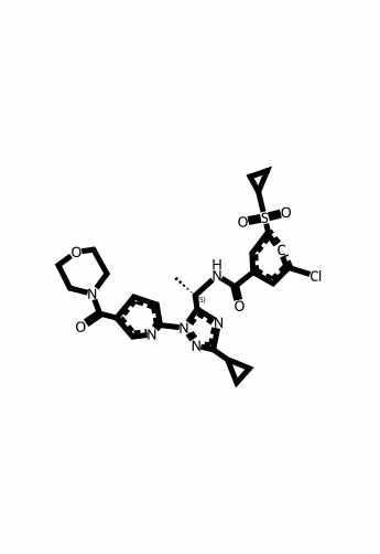 C[C@H](NC(=O)c1cc(Cl)cc(S(=O)(=O)C2CC2)c1)c1nc(C2CC2)nn1-c1ccc(C(=O)N2CCOCC2)cn1